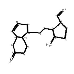 CC1CCC(C=O)C1CCC1CC=CC2CC(=O)CCC21